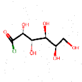 O=C(Cl)[C@H](O)[C@@H](O)[C@@H](O)[C@H](O)CO